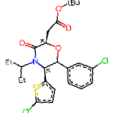 CCC(CC)N1C(=O)[C@@H](CC(=O)OC(C)(C)C)OC(c2cccc(Cl)c2)[C@H]1c1ccc(Cl)s1